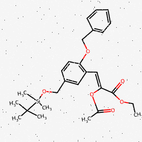 CCOC(=O)C(=Cc1cc(CO[Si](C)(C)C(C)(C)C)ccc1OCc1ccccc1)OC(C)=O